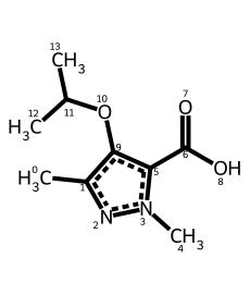 Cc1nn(C)c(C(=O)O)c1OC(C)C